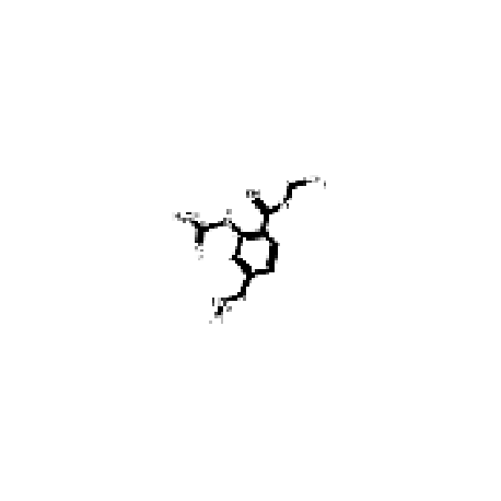 CCOC(=O)c1ccc(CNCl)cc1OC(C)=O